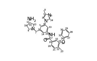 Cc1cn(-c2cc(CN3CC[C@H](N)C3)cc(NC(=O)c3ccc(C)c(Oc4ccccc4)c3)c2)cn1